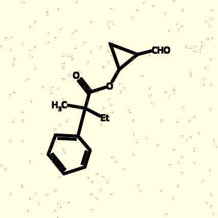 CCC(C)(C(=O)OC1CC1C=O)c1ccccc1